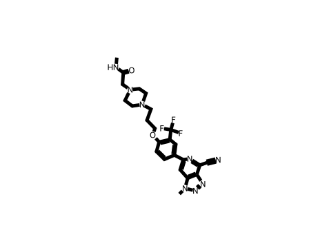 CNC(=O)CN1CCN(CCCOc2ccc(-c3cc4c(nnn4C)c(C#N)n3)cc2C(F)(F)F)CC1